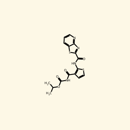 CC(C)OC(=O)NC(=O)c1ccsc1NC(=O)c1nc2ncccc2s1